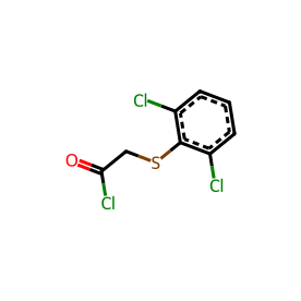 O=C(Cl)CSc1c(Cl)cccc1Cl